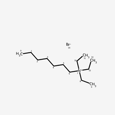 CCCCCCC[N+](CC)(CC)CC.[Br-]